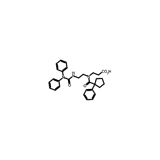 O=C(O)CCN(CCNC(=O)N(c1ccccc1)c1ccccc1)C(=O)C1(c2ccccc2)CCCC1